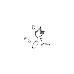 Cl.O=C(O)Nc1ccccc1-c1cccc(Cl)c1